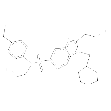 CCc1ccc(N(CC(C)C)S(=O)(=O)c2ccc3c(c2)nc(COC)n3CC2CCOCC2)cc1